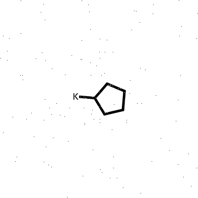 [K][CH]1CCCC1